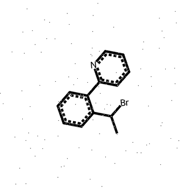 CC(Br)c1ccccc1-c1ccccn1